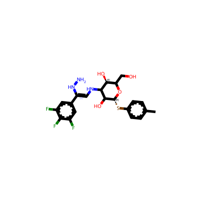 Cc1ccc(S[C@H]2OC(CO)[C@H](O)C(N/C=C(\NN)c3cc(F)c(F)c(F)c3)C2O)cc1